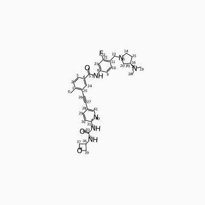 Cc1ccc(C(=O)Nc2ccc(CN3CC[C@@H](N(C)C)C3)c(F)c2)cc1C#Cc1ccc(NC(=O)NC2COC2)nc1